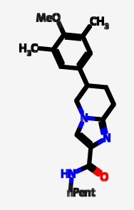 CCCCCNC(=O)c1cn2c(n1)CCC(c1cc(C)c(OC)c(C)c1)C2